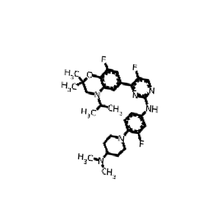 CC(C)N1CC(C)(C)Oc2c(F)cc(-c3nc(Nc4ccc(N5CCC(N(C)C)CC5)c(F)c4)ncc3F)cc21